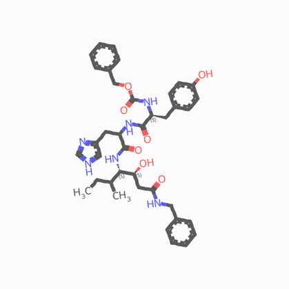 CCC(C)[C@H](NC(=O)C(Cc1c[nH]cn1)NC(=O)[C@H](Cc1ccc(O)cc1)NC(=O)OCc1ccccc1)[C@@H](O)CC(=O)NCc1ccccc1